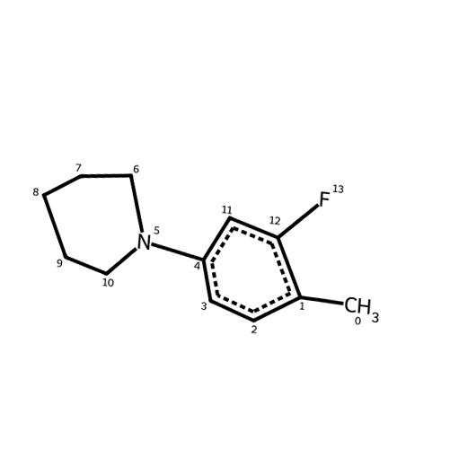 Cc1ccc(N2CCCCC2)cc1F